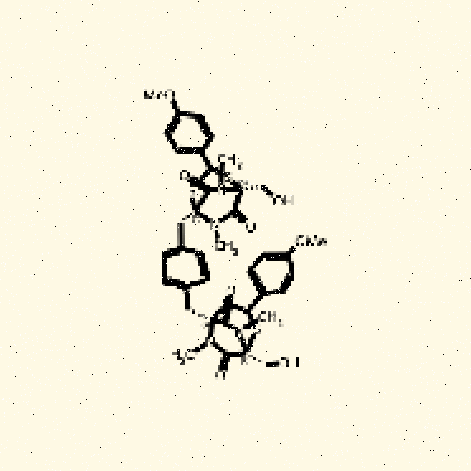 COc1ccc(C2S[C@@]3(CO)C(=O)N(C)[C@@](Cc4ccc(C[C@@]56SC(c7ccc(OC)cc7)S[C@@](CO)(C(=O)N5C)N(C)C6=O)cc4)(S2)C(=O)N3C)cc1